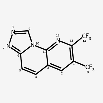 FC(F)(F)c1cc2ccc3nncn3c2nc1C(F)(F)F